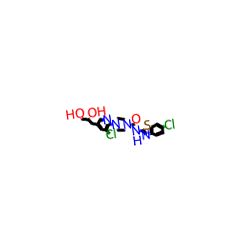 O=C(Nc1nc2ccc(Cl)cc2s1)N1CCN(c2ncc(C[C@@H](O)CO)cc2Cl)CC1